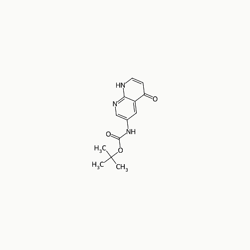 CC(C)(C)OC(=O)Nc1cnc2[nH]ccc(=O)c2c1